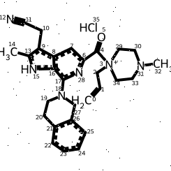 C=CC[N+]1(C(=O)c2cc3c(CC#N)c(C)[nH]c3c(N3CCc4ccccc4C3)n2)CCN(C)CC1.Cl